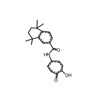 CC1(C)CCC(C)(C)c2cc(C(=O)Nc3ccc(O)c(=O)cc3)ccc21